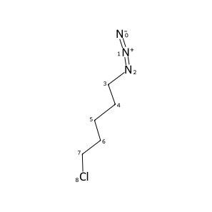 [N-]=[N+]=NCCCCCCl